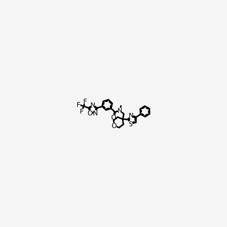 CN(CC1(c2nc(-c3ccccc3)cs2)CCOCC1)C(=O)c1cccc(-c2noc(C(F)(F)F)n2)c1